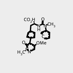 COc1cnn(C)c(=O)c1-c1ccc(C[C@H](NC(=O)N(C)c2ccccc2)C(=O)O)cc1